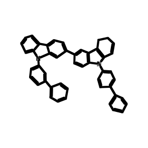 C1=Cc2c(c3cc(-c4ccc5c6ccccc6n(-c6cccc(-c7ccccc7)c6)c5c4)ccc3n2-c2ccc(-c3ccccc3)cc2)CC1